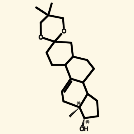 CC1(C)COC2(CCC3C4=CC[C@@]5(C)C(CC[C@@H]5O)C4CCC3C2)OC1